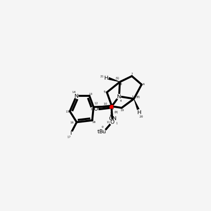 CC(C)(C)OC(=O)N1[C@@H]2CC[C@H]1C[C@](C#N)(c1cncc(I)c1)C2